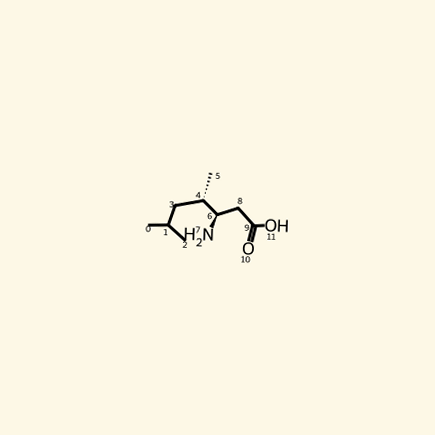 CC(C)C[C@H](C)[C@H](N)CC(=O)O